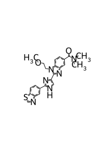 COCCn1c(-c2c[nH]c(-c3ccc4scnc4c3)n2)nc2cc(C(=O)N(C)C)ccc21